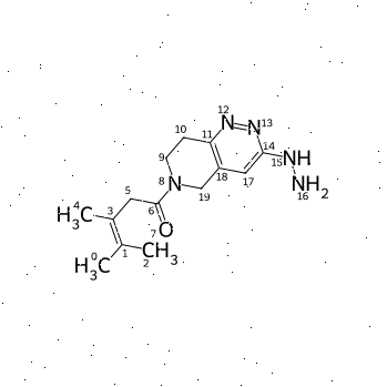 CC(C)=C(C)CC(=O)N1CCc2nnc(NN)cc2C1